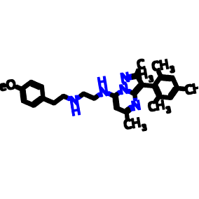 COc1ccc(CCNCCNc2cc(C)nc3c(-c4c(C)cc(C)cc4C)c(C)nn23)cc1